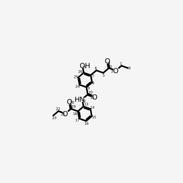 CCOC(=O)CCc1cc(C(=O)Nc2ccccc2C(=O)OCC)ccc1O